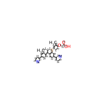 CCC(CSc1ccc(OCC(=O)O)c(C)c1)=C(c1ccc(-c2cccnc2)cc1)c1ccc(-c2cccnc2)cc1